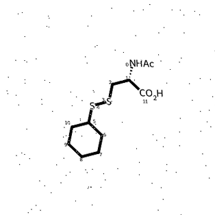 CC(=O)N[C@@H](CSSC1CCCCC1)C(=O)O